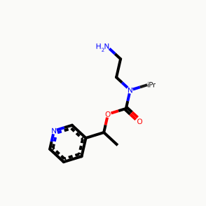 CC(OC(=O)N(CCN)C(C)C)c1cccnc1